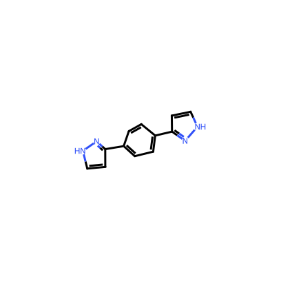 c1cc(-c2ccc(-c3cc[nH]n3)cc2)n[nH]1